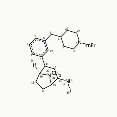 CCCN1CCC(Cc2cccc(C3CC(NI)C4CC[C@@H]3N4C)c2)CC1